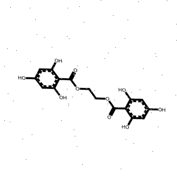 O=C(OCCOC(=O)c1c(O)cc(O)cc1O)c1c(O)cc(O)cc1O